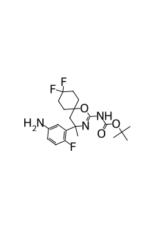 CC(C)(C)OC(=O)NC1=NC(C)(c2cc(N)ccc2F)CC2(CCC(F)(F)CC2)O1